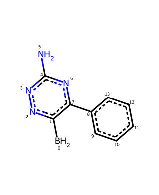 Bc1nnc(N)nc1-c1ccccc1